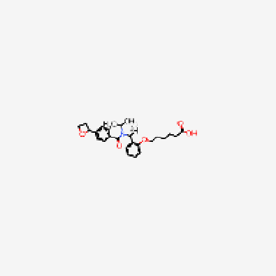 [2H]C(c1ccccc1OCCCCCC(=O)O)N(C(=O)c1ccc(C2CCO2)cc1)C(C)C